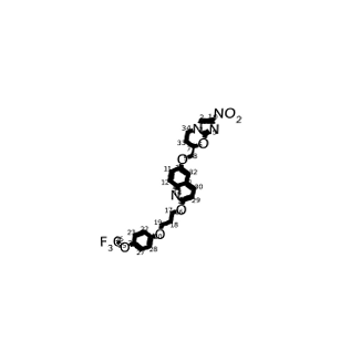 O=[N+]([O-])c1cn2c(n1)O[C@@H](COc1ccc3nc(OCCCOc4ccc(OC(F)(F)F)cc4)ccc3c1)CC2